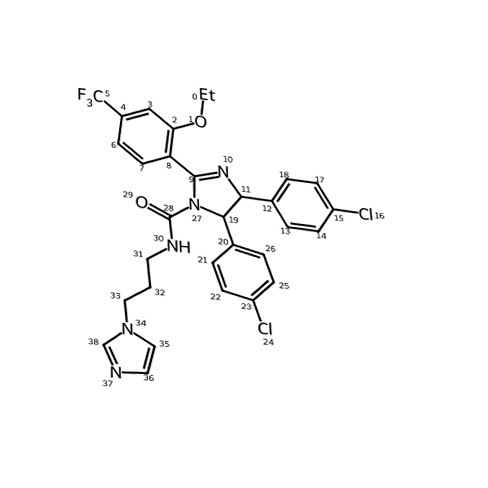 CCOc1cc(C(F)(F)F)ccc1C1=NC(c2ccc(Cl)cc2)C(c2ccc(Cl)cc2)N1C(=O)NCCCn1ccnc1